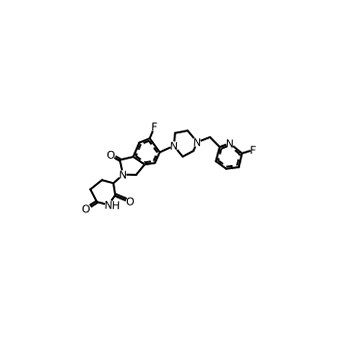 O=C1CCC(N2Cc3cc(N4CCN(Cc5cccc(F)n5)CC4)c(F)cc3C2=O)C(=O)N1